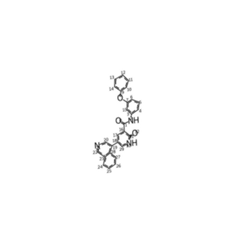 O=C(Nc1cccc(Oc2ccccc2)c1)c1cc(-c2cncc3ccccc23)c[nH]c1=O